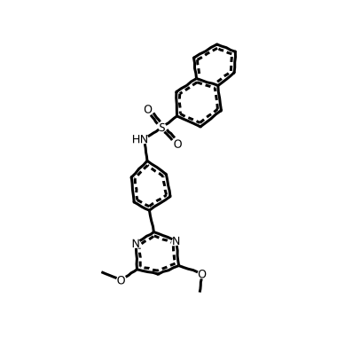 COc1cc(OC)nc(-c2ccc(NS(=O)(=O)c3ccc4ccccc4c3)cc2)n1